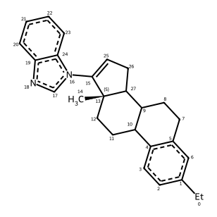 CCc1ccc2c(c1)CCC1C2CC[C@]2(C)C(n3cnc4ccccc43)=CCC12